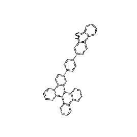 c1ccc2c(c1)sc1cc(-c3ccc(-c4ccc5c6ccccc6c6c7ccccc7c7ccccc7c6c5c4)cc3)ccc12